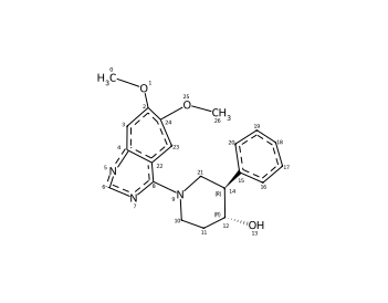 COc1cc2ncnc(N3CC[C@@H](O)[C@H](c4ccccc4)C3)c2cc1OC